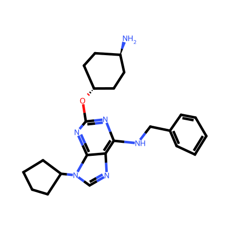 N[C@H]1CC[C@H](Oc2nc(NCc3ccccc3)c3ncn(C4CCCC4)c3n2)CC1